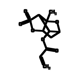 C=CC(=O)OC1C2CC3OS(=O)(=O)C1C3(C)O2